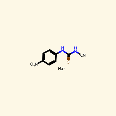 N#CNC(=S)Nc1ccc([N+](=O)[O-])cc1.[Na+]